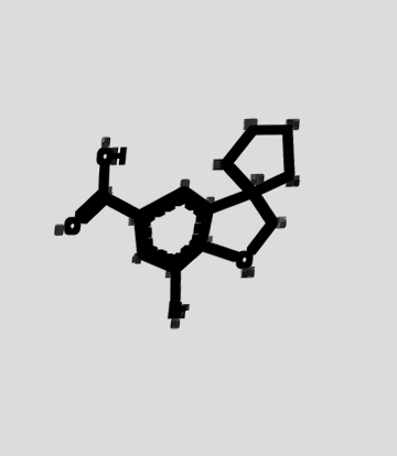 O=C(O)c1cc(Br)c2c(c1)C1(CCCC1)CO2